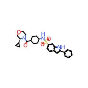 O=C(C1CCC(NS(=O)(=O)c2ccc3cc(-c4ccccc4)[nH]c3c2)CC1)N1CCOC[C@@H]1C1CC1